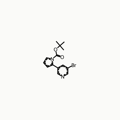 CC(C)(C)OC(=O)n1cccc1-c1cncc(Br)c1